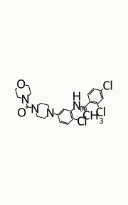 C[C@@H](Nc1cc(N2CCN(C(=O)N3CCOCC3)CC2)ccc1Cl)c1ccc(Cl)cc1Cl